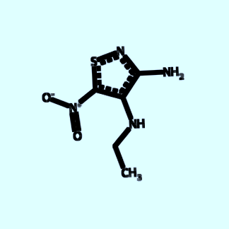 CCNc1c(N)nsc1[N+](=O)[O-]